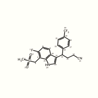 CS(=O)(=O)Cc1c(F)ccc2c(C(CCC#N)c3ccc(C(F)(F)F)cc3)c[nH]c12